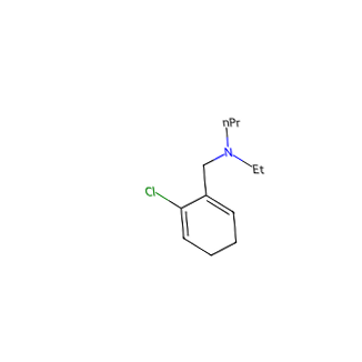 CCCN(CC)CC1=CCCC=C1Cl